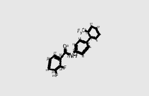 O=C(Nc1ccc(-c2ccccc2C(F)(F)F)cc1)c1cccc(F)c1F